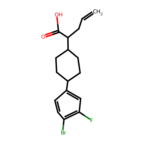 C=CCC(C(=O)O)C1CCC(c2ccc(Br)c(F)c2)CC1